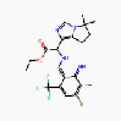 CCOC(=O)C(N/C=C1\C(=N)C(C)=C(Br)C=C1C(F)(F)F)c1ncn2c1CCC2(C)C